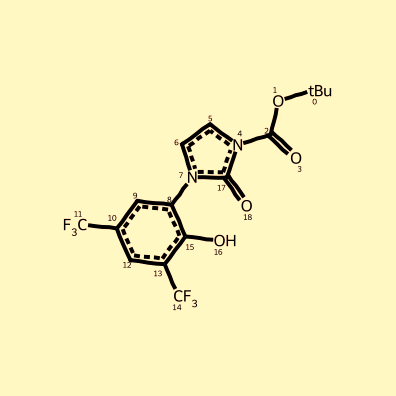 CC(C)(C)OC(=O)n1ccn(-c2cc(C(F)(F)F)cc(C(F)(F)F)c2O)c1=O